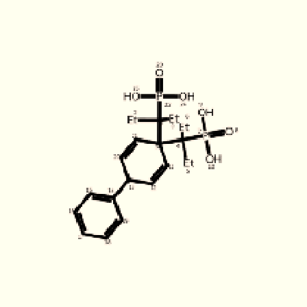 CCC(CC)(C1(C(CC)(CC)P(=O)(O)O)C=CC(c2ccccc2)C=C1)P(=O)(O)O